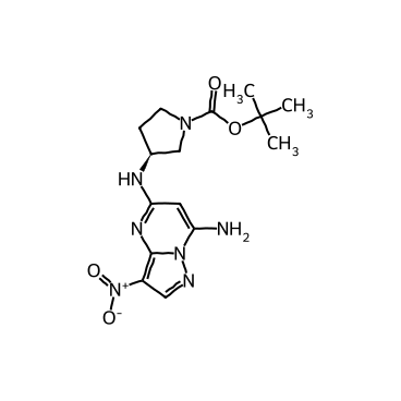 CC(C)(C)OC(=O)N1CC[C@H](Nc2cc(N)n3ncc([N+](=O)[O-])c3n2)C1